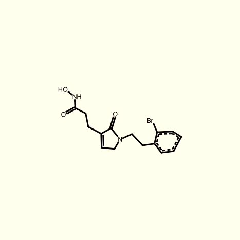 O=C(CCC1=CCN(CCc2ccccc2Br)C1=O)NO